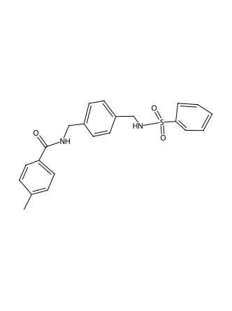 Cc1ccc(C(=O)NCc2ccc(CNS(=O)(=O)c3ccccc3)cc2)cc1